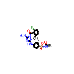 CCC(=O)NS(=O)(=O)c1ccc(Nc2nc(N)n(C(=O)c3c(C)cccc3F)n2)cc1